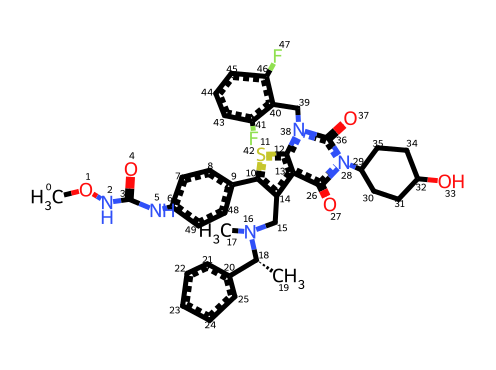 CONC(=O)Nc1ccc(-c2sc3c(c2CN(C)[C@H](C)c2ccccc2)c(=O)n(C2CCC(O)CC2)c(=O)n3Cc2c(F)cccc2F)cc1